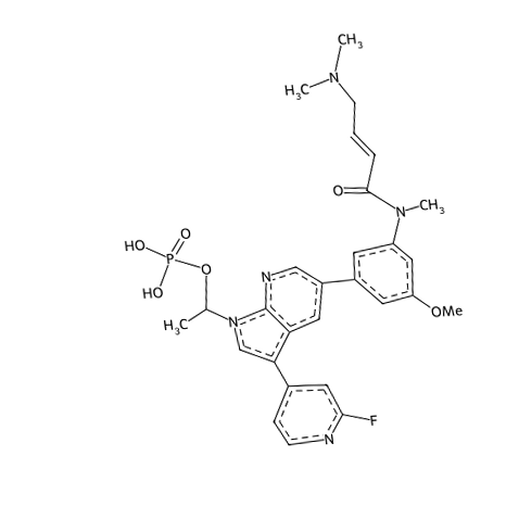 COc1cc(-c2cnc3c(c2)c(-c2ccnc(F)c2)cn3C(C)OP(=O)(O)O)cc(N(C)C(=O)C=CCN(C)C)c1